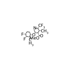 COC(=O)c1c(Oc2ccc(F)c(F)c2C)cnc(C(F)(F)F)c1C